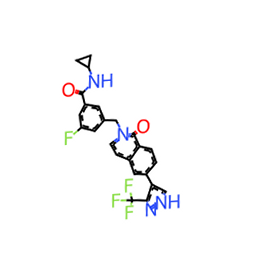 O=C(NC1CC1)c1cc(F)cc(Cn2ccc3cc(-c4c[nH]nc4C(F)(F)F)ccc3c2=O)c1